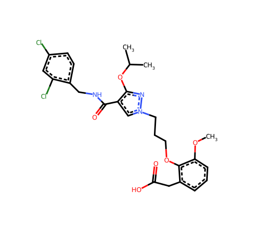 COc1cccc(CC(=O)O)c1OCCCn1cc(C(=O)NCc2ccc(Cl)cc2Cl)c(OC(C)C)n1